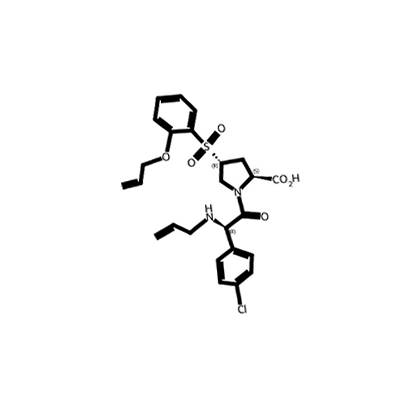 C=CCN[C@@H](C(=O)N1C[C@H](S(=O)(=O)c2ccccc2OCC=C)C[C@H]1C(=O)O)c1ccc(Cl)cc1